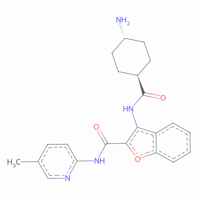 Cc1ccc(NC(=O)c2oc3ccccc3c2NC(=O)[C@H]2CC[C@H](N)CC2)nc1